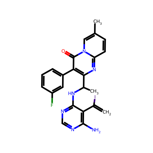 C=C(I)c1c(N)ncnc1NC(C)c1nc2ccc(C)cn2c(=O)c1-c1cccc(F)c1